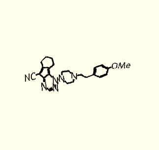 COc1ccc(CCN2CCN(n3ncnc4c(C#N)c5c(c3-4)CCCC5)CC2)cc1